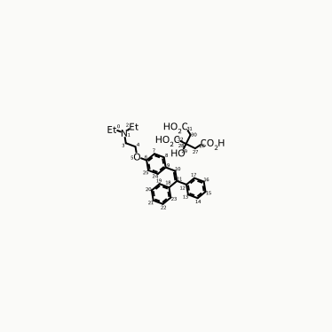 CCN(CC)CCOc1ccc(C=C(c2ccccc2)c2ccccc2)cc1.O=C(O)CC(O)(CC(=O)O)C(=O)O